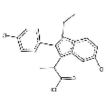 CCn1c(-c2ccc(Cl)cc2)c(C(C)C(=O)O)c2cc(Cl)ccc21